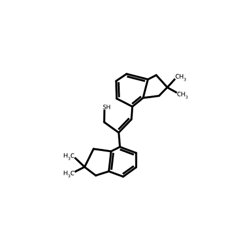 CC1(C)Cc2cccc(C=C(CS)c3cccc4c3CC(C)(C)C4)c2C1